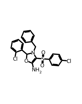 NC1=C(S(=O)(=O)c2ccc(Cl)cc2)N(Cc2ccccc2)C(c2ccccc2Cl)O1